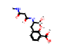 CNC(=O)CC(=O)NC1Cc2cccc(C(=O)O)c2OB1O